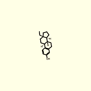 CC[C@@]12CCC[C@H]1[C@@H]1CCc3cc(O)ccc3[C@H]1CC2